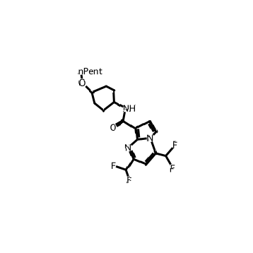 CCCCCOC1CCC(NC(=O)c2ccn3c(C(F)F)cc(C(F)F)nc23)CC1